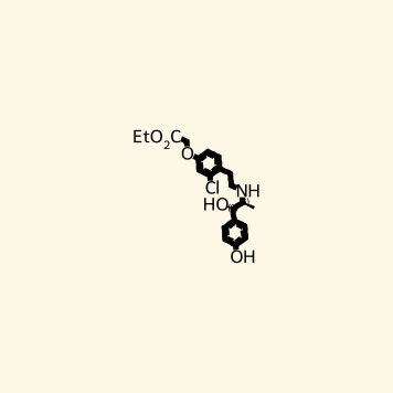 CCOC(=O)COc1ccc(CCN[C@@H](C)[C@@H](O)c2ccc(O)cc2)c(Cl)c1